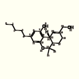 CCCCCc1cc(O)c2c(c1)OC(C)(C)C1CCC(CO)=C[C@@H]21